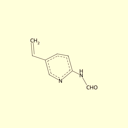 C=Cc1ccc(NC=O)nc1